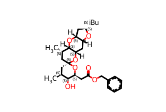 CC[C@H](C)[C@@H]1C[C@H]2O[C@@H]3[C@H](C[C@H]2O1)O[C@]1(C[C@H](C)[C@H](O)[C@H](CC(=O)OCc2ccccc2)O1)C[C@@H]3C